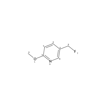 COc1ccc(CF)cn1